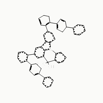 CC1(C)c2ccccc2-n2c3ccc(C4=C(C5=CCC(c6ccccc6)C=C5)CCC=C4)cc3c3cc(-c4ccccc4C4=CC=C(c5ccccc5)CC4)cc1c32